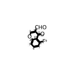 O=Cc1coc2cccc(F)c2c1=O